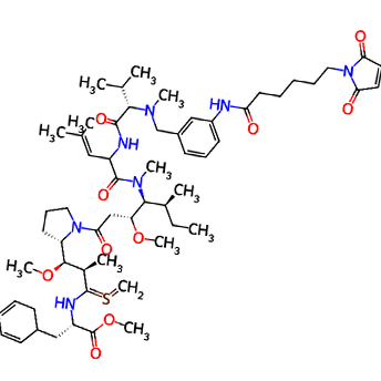 C=S=C(N[C@@H](CC1C=CC=CC1)C(=O)OC)[C@H](C)[C@@H](OC)[C@@H]1CCCN1C(=O)C[C@@H](OC)[C@H]([C@@H](C)CC)N(C)C(=O)C(C=C(C)C)NC(=O)[C@H](C(C)C)N(C)Cc1cccc(NC(=O)CCCCCN2C(=O)C=CC2=O)c1